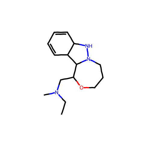 CCN(C)CC1OCCCN2NC3C=CC=CC3C12